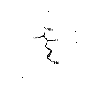 CCCCCC(OC(C)=O)C(S)CC=CC=O